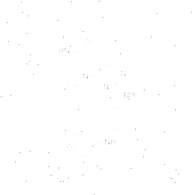 O=C1NCCC12Cc1cnc(NC3CCC(NC4CCOCC4)CC3)nc1N2C1CCCC1